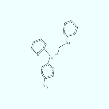 Cc1ccc([C@@H](CCNc2ccccc2)c2ccccn2)cc1